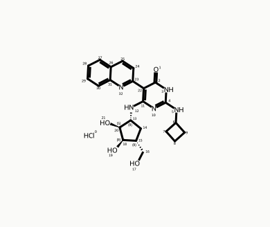 Cl.O=c1[nH]c(NC2CCC2)nc(N[C@@H]2C[C@H](CO)[C@@H](O)[C@H]2O)c1-c1ccc2ccccc2n1